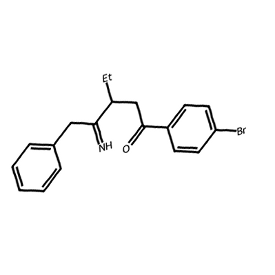 CCC(CC(=O)c1ccc(Br)cc1)C(=N)Cc1ccccc1